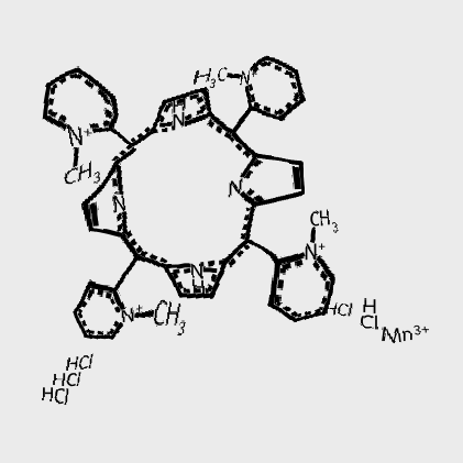 C[n+]1ccccc1-c1c2nc(c(-c3cccc[n+]3C)c3ccc([nH]3)c(-c3cccc[n+]3C)c3nc(c(-c4cccc[n+]4C)c4ccc1[nH]4)C=C3)C=C2.Cl.Cl.Cl.Cl.Cl.[Mn+3]